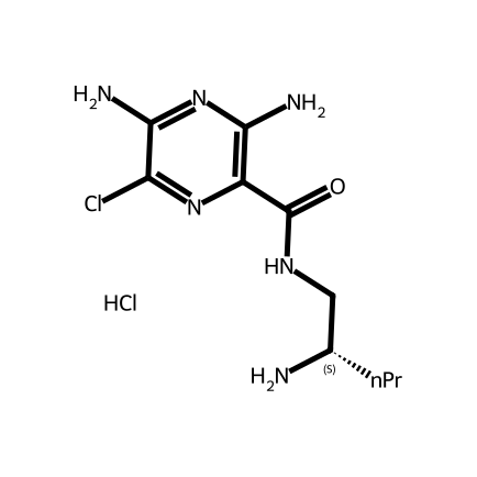 CCC[C@H](N)CNC(=O)c1nc(Cl)c(N)nc1N.Cl